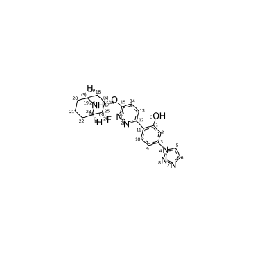 Oc1cc(-n2ccnn2)ccc1-c1ccc(O[C@H]2C[C@@H]3CCC[C@@H](N3)[C@H]2F)nn1